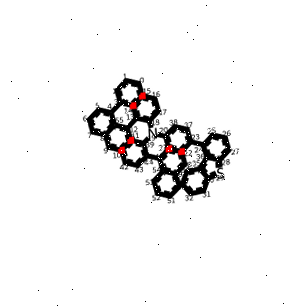 c1ccc(-c2cccc3cccc(-c4ccccc4N(c4ccc(-c5cccc6sc7ccccc7c56)cc4)c4ccccc4-c4cccc5ccccc45)c23)cc1